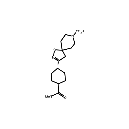 CNC(=O)[C@H]1CC[C@H](C2=NOC3(CCN(C(=O)O)CC3)C2)CC1